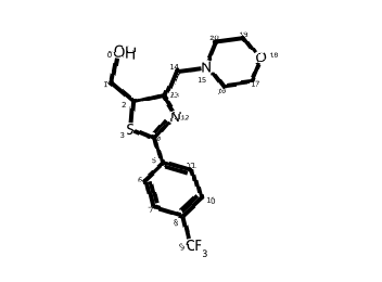 OCC1SC(c2ccc(C(F)(F)F)cc2)=NC1CN1CCOCC1